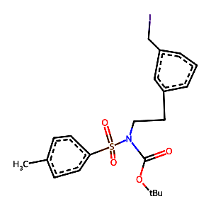 Cc1ccc(S(=O)(=O)N(CCc2cccc(CI)c2)C(=O)OC(C)(C)C)cc1